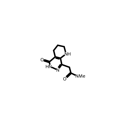 CNC(=O)Cc1n[nH]c(=O)c2c1NCCC2